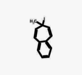 CC1(I)C=Cc2ccccc2C=C1